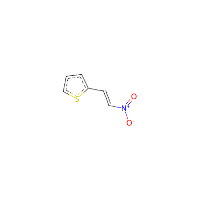 O=[N+]([O-])/C=C/c1cccs1